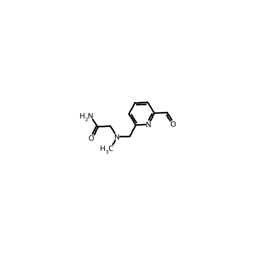 CN(CC(N)=O)Cc1cccc(C=O)n1